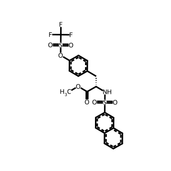 COC(=O)[C@H](Cc1ccc(OS(=O)(=O)C(F)(F)F)cc1)NS(=O)(=O)c1ccc2ccccc2c1